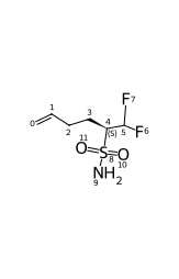 C=CCC[C@@H](C(F)F)S(N)(=O)=O